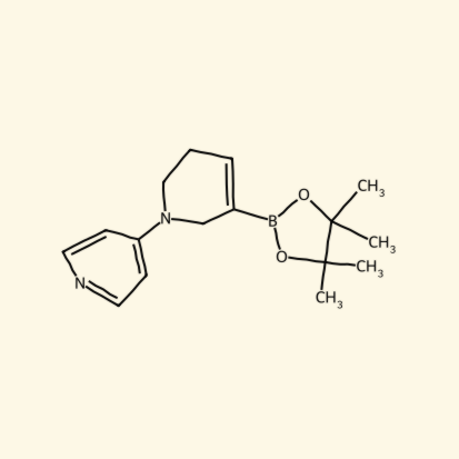 CC1(C)OB(C2=CCCN(c3ccncc3)C2)OC1(C)C